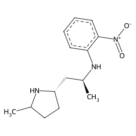 CC1CC[C@@H](C[C@H](C)Nc2ccccc2[N+](=O)[O-])N1